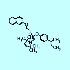 CCC(C)c1ccc(OC(CN2C(C)(C)C=CC2(C)C)OCCOc2ccc3ccccc3c2)cc1